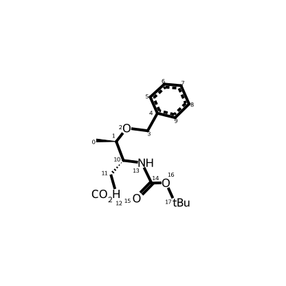 C[C@@H](OCc1ccccc1)[C@@H](CC(=O)O)NC(=O)OC(C)(C)C